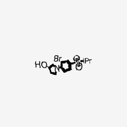 CC(C)S(=O)(=O)c1ccc(N2CC[C@H](O)C2)c(Br)c1